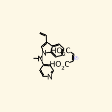 C=Cc1cn(N(C)c2ccncc2)c2ccccc12.O=C(O)/C=C\C(=O)O